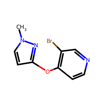 Cn1ccc(Oc2ccncc2Br)n1